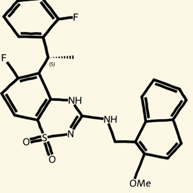 COc1ccc2ccccc2c1CNC1=NS(=O)(=O)c2ccc(F)c([C@@H](C)c3ccccc3F)c2N1